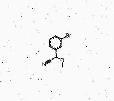 COC(C#N)c1cccc(Br)c1